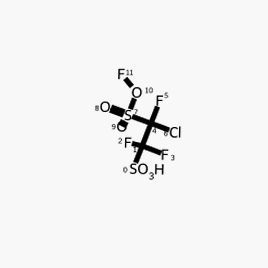 O=S(=O)(O)C(F)(F)C(F)(Cl)S(=O)(=O)OF